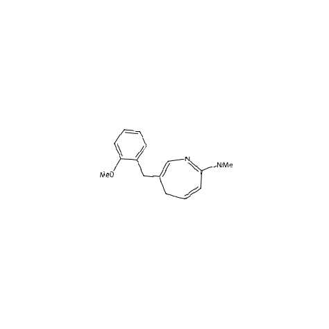 CNC1=NC=C(Cc2ccccc2OC)CC=C1